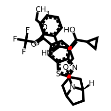 CCOC(=O)c1ccc2nc(N3C4CC[C@H]3CC(OC/C(C(=N)c3ccccc3OC(F)(F)F)=C(/O)C3CC3)C4)sc2c1